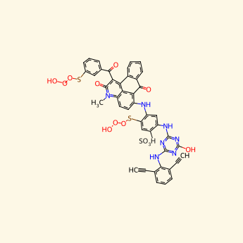 C#Cc1cccc(C#C)c1Nc1nc(O)nc(Nc2cc(Nc3ccc4c5c3C(=O)c3ccccc3-c5c(C(=O)c3cccc(SOOO)c3)c(=O)n4C)c(SOOO)cc2S(=O)(=O)O)n1